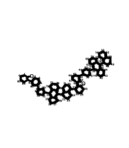 C1=CC2Oc3ccc(-c4cccc(-c5c6ccccc6c(-c6cccc7c(-c8cccc9oc%10c(-c%11ccc(-c%12c%13ccccc%13c(-c%13cccc%14ccccc%13%14)c%13ccccc%12%13)cc%11)cccc%10c89)cccc67)c6ccccc56)c4)cc3C2C=C1